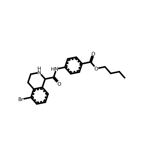 CCCCOC(=O)c1ccc(NC(=O)C2NCCc3c(Br)cccc32)cc1